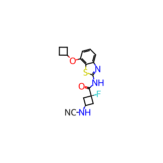 N#CN[C@H]1C[C@](F)(C(=O)Nc2nc3cccc(OC4CCC4)c3s2)C1